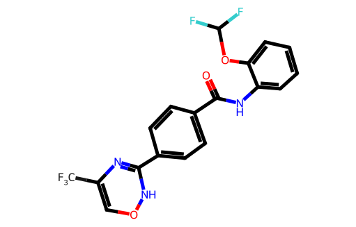 O=C(Nc1ccccc1OC(F)F)c1ccc(C2=NC(C(F)(F)F)=CON2)cc1